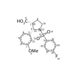 COc1cccc([C@@H]2[C@H](C(=O)O)CCN2S(=O)(=O)c2ccc(F)cc2)c1